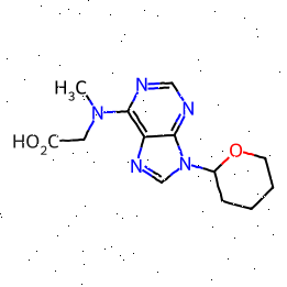 CN(CC(=O)O)c1ncnc2c1ncn2C1CCCCO1